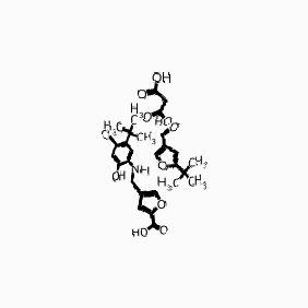 CC(C)(C)c1cc(C=O)co1.CC(C)(C)c1cc(NCc2coc(C(=O)O)c2)c(O)cc1Cl.O=C(O)CC(=O)O